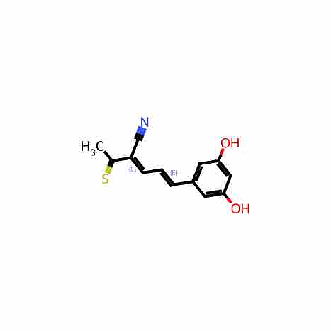 CC(=S)/C(C#N)=C/C=C/c1cc(O)cc(O)c1